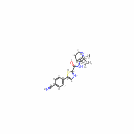 C[C@H]1[C@H](NC(=O)c2ncc(-c3ccc(C#N)cc3)s2)C2CCN1CC2